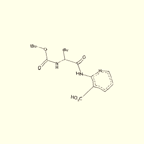 CCC(C)C(NC(=O)OC(C)(C)C)C(=O)Nc1ncccc1C(=O)O